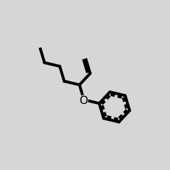 C=CC(CCCC)Oc1ccccc1